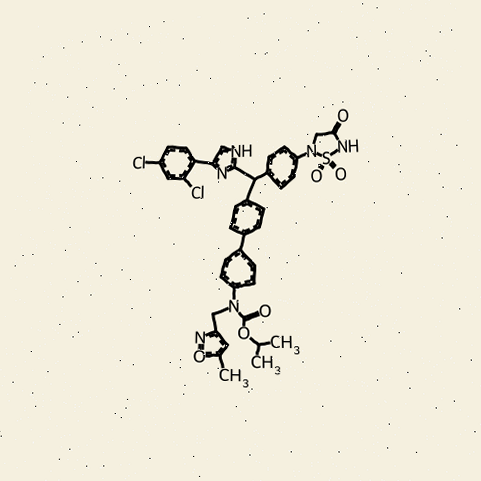 Cc1cc(CN(C(=O)OC(C)C)c2ccc(-c3ccc(C(c4ccc(N5CC(=O)NS5(=O)=O)cc4)c4nc(-c5ccc(Cl)cc5Cl)c[nH]4)cc3)cc2)no1